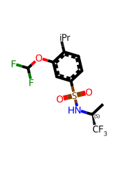 CC(C)c1ccc(S(=O)(=O)N[C@@H](C)C(F)(F)F)cc1OC(F)F